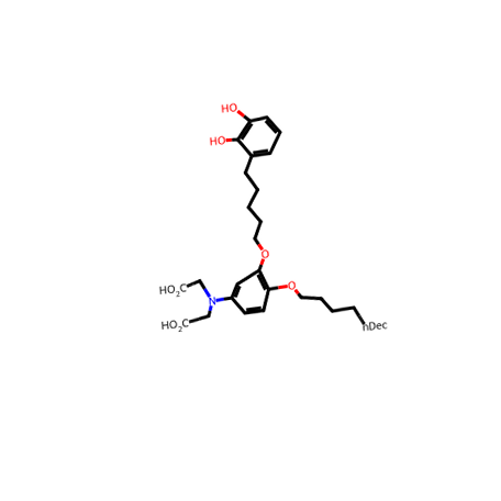 CCCCCCCCCCCCCCOc1ccc(N(CC(=O)O)CC(=O)O)cc1OCCCCCc1cccc(O)c1O